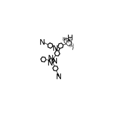 CC[C@H]1C[C@H]2C[C@@H](C)CC(c3ccc4c(c3)c3ccc(-c5nc(-c6ccccc6)nc(-c6ccc(C#N)cc6)n5)cc3n4-c3ccc(C#N)cc3)(C2)C1